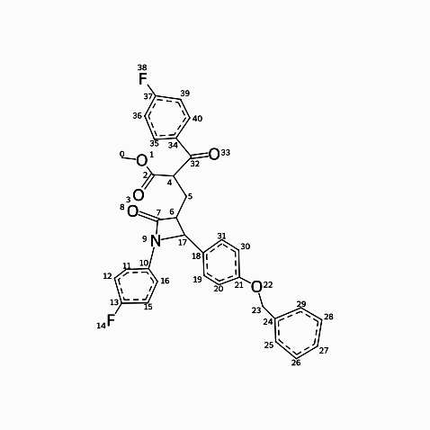 COC(=O)C(CC1C(=O)N(c2ccc(F)cc2)C1c1ccc(OCc2ccccc2)cc1)C(=O)c1ccc(F)cc1